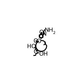 CCCC[C@H]1C(=O)C(C)(C)[C@@H](O)CC(=O)O[C@H](c2ccc3oc(CN)nc3c2)C/C=C(\C)CCC[C@H](C)[C@@H]1O